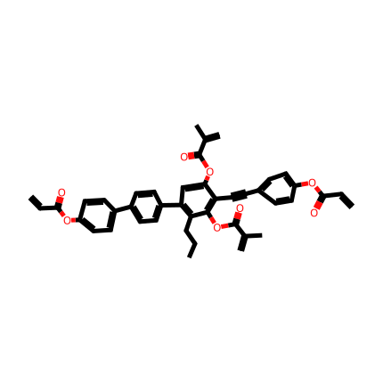 C=CC(=O)Oc1ccc(C#Cc2c(OC(=O)C(=C)C)cc(-c3ccc(-c4ccc(OC(=O)C=C)cc4)cc3)c(CCC)c2OC(=O)C(=C)C)cc1